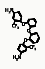 Nc1ccc(Oc2ccccc2Oc2ccccc2Oc2ccc(N)cc2C(F)(F)F)c(C(F)(F)F)c1